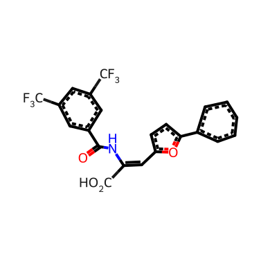 O=C(O)C(=Cc1ccc(-c2ccccc2)o1)NC(=O)c1cc(C(F)(F)F)cc(C(F)(F)F)c1